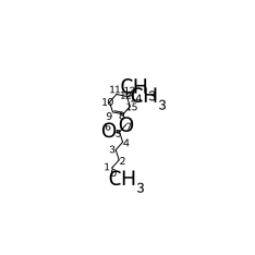 CCCCCC(=O)OC1=CCCC(C)(C)C1